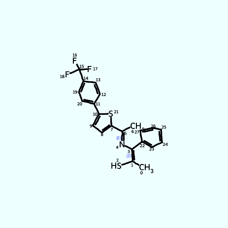 C/C(S)=C(/N=C(\C)c1ccc(-c2ccc(C(F)(F)F)cc2)s1)c1ccccc1